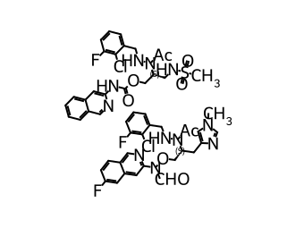 CC(=O)N(NCc1cccc(F)c1Cl)[C@@H](CNS(C)(=O)=O)COC(=O)Nc1cc2ccccc2cn1.CC(=O)N(NCc1cccc(F)c1Cl)[C@H](CON(C=O)c1cc2cc(F)ccc2cn1)Cc1cn(C)cn1